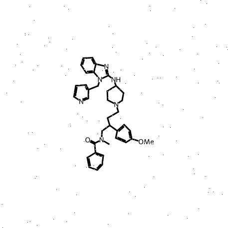 COc1ccc(C(CCN2CCC(Nc3nc4ccccc4n3Cc3cccnc3)CC2)CN(C)C(=O)c2ccccc2)cc1